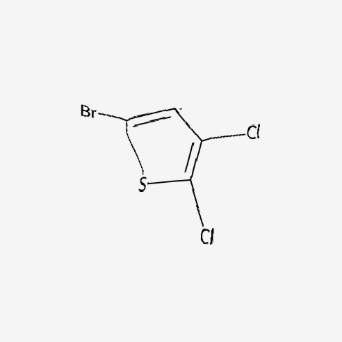 Clc1[c]c(Br)sc1Cl